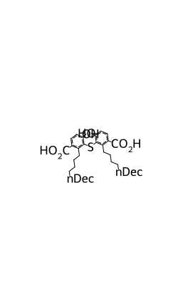 CCCCCCCCCCCCCCc1c(C(=O)O)ccc(O)c1Sc1c(O)ccc(C(=O)O)c1CCCCCCCCCCCCCC